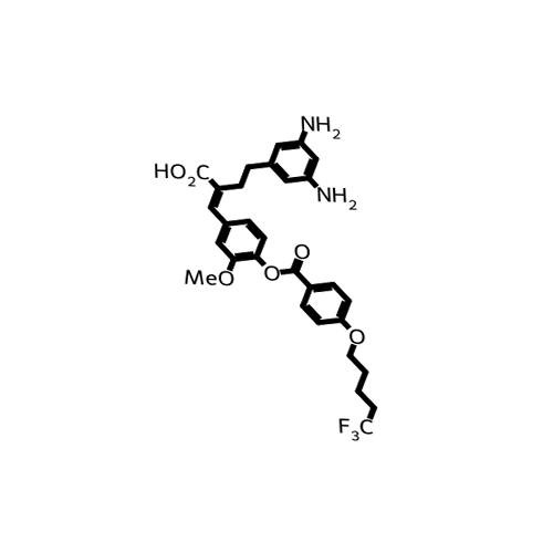 COc1cc(C=C(CCc2cc(N)cc(N)c2)C(=O)O)ccc1OC(=O)c1ccc(OCCCCC(F)(F)F)cc1